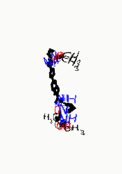 COC(=O)NC(C(=O)N1CCC[C@H]1c1ncc(-c2ccc3cc(-c4ccc(-c5cnc([C@@H]6CCCN6C(=O)OC(C)(C)C)[nH]5)cc4)ccc3c2)[nH]1)C(C)C